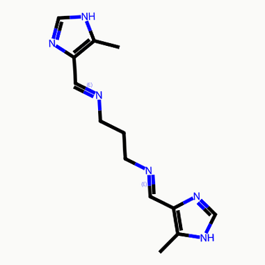 Cc1[nH]cnc1/C=N/CCC/N=C/c1nc[nH]c1C